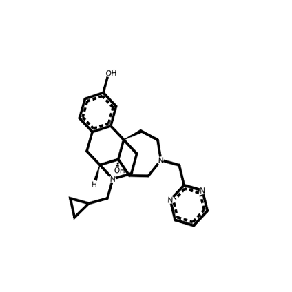 Oc1ccc2c(c1)[C@@]13CCN(Cc4ncccn4)CC[C@@]1(O)[C@@H](C2)N(CC1CC1)CC3